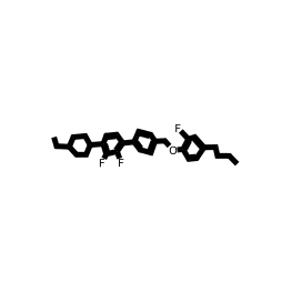 CCCCc1ccc(OCc2ccc(-c3ccc(C4CCC(CC)CC4)c(F)c3F)cc2)c(F)c1